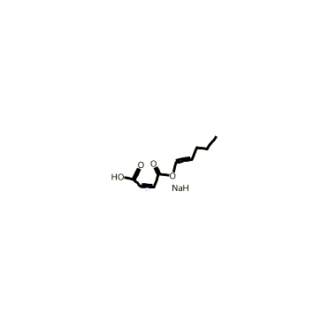 CCCC=COC(=O)/C=C\C(=O)O.[NaH]